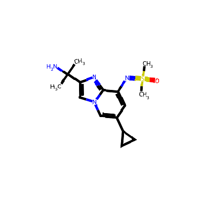 CC(C)(N)c1cn2cc(C3CC3)cc(N=S(C)(C)=O)c2n1